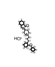 Cl.O=C1c2ccccc2CN1C1CCN(CCCc2ccccc2Oc2ccccc2)CC1